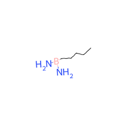 CCCCCB(N)N